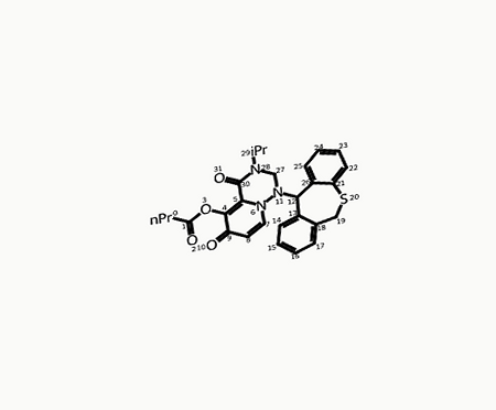 CCCC(=O)Oc1c2n(ccc1=O)N(C1c3ccccc3CSc3ccccc31)CN(C(C)C)C2=O